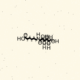 O=C(O)CCCCCNC(=O)[C@H](O)[C@@H](O)[C@H](O)[C@H](O)CO